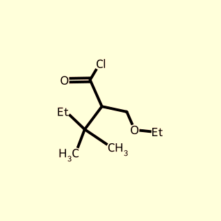 CCOCC(C(=O)Cl)C(C)(C)CC